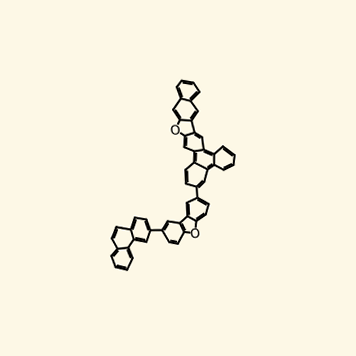 c1ccc2cc3c(cc2c1)oc1cc2c4ccc(-c5ccc6oc7ccc(-c8ccc9ccc%10ccccc%10c9c8)cc7c6c5)cc4c4ccccc4c2cc13